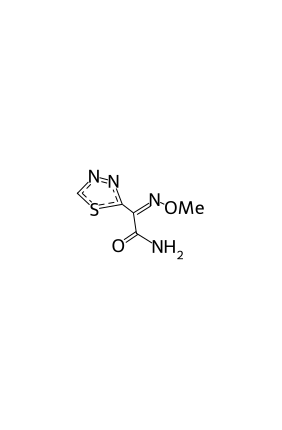 CON=C(C(N)=O)c1nncs1